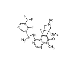 COC1(c2cc3c(N[C@H](C)c4cccc(C(F)F)c4F)ncnc3n(C)c2=O)CN(C(C)=O)CC12CC2